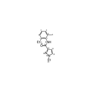 CCc1cccc(C)c1NC(=O)c1ccn(CC)n1